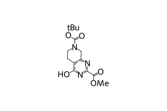 COC(=O)c1nc(O)c2c(n1)CN(C(=O)OC(C)(C)C)CC2